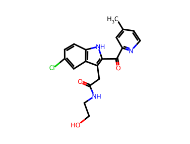 Cc1ccnc(C(=O)c2[nH]c3ccc(Cl)cc3c2CC(=O)NCCO)c1